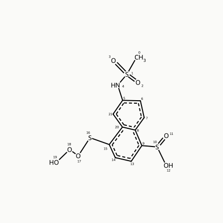 CS(=O)(=O)Nc1ccc2c(S(=O)O)ccc(SOOO)c2c1